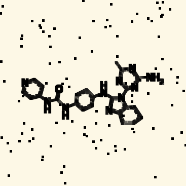 Cc1nc(N)nc(-n2c(Nc3ccc(NC(=O)Nc4ccncc4)cc3)nc3ccccc32)n1